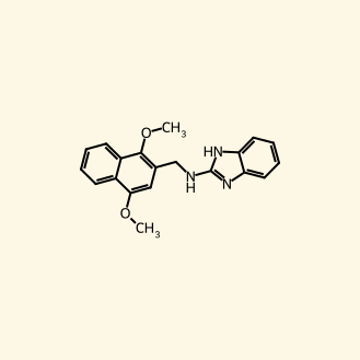 COc1cc(CNc2nc3ccccc3[nH]2)c(OC)c2ccccc12